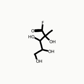 CC(O)(C(=O)F)C(O)C(O)CO